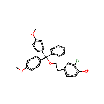 COc1ccc(C(OCCc2ccc(O)c(Cl)c2)(c2ccccc2)c2ccc(OC)cc2)cc1